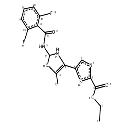 CCOC(=O)c1ncc(C2=C(C)SC(NC(=O)c3c(F)cccc3F)N2)s1